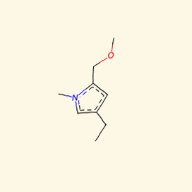 CCc1cc(COC)n(C)c1